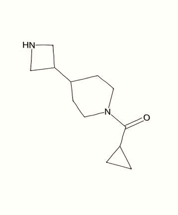 O=C(C1CC1)N1CCC(C2CNC2)CC1